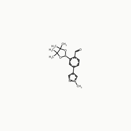 Cn1cc(-c2ccc(C=O)c(B3OC(C)(C)C(C)(C)O3)c2)cn1